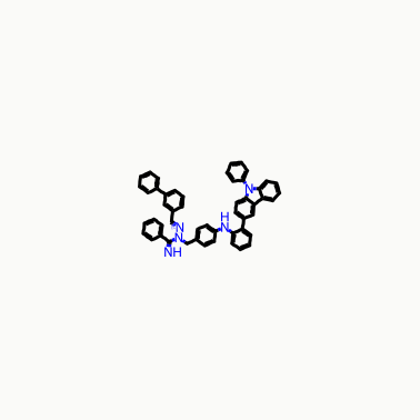 N=C(c1ccccc1)N(Cc1ccc(Nc2ccccc2-c2ccc3c(c2)c2ccccc2n3-c2ccccc2)cc1)/N=C/c1cccc(-c2ccccc2)c1